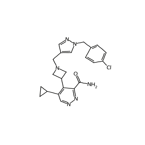 NC(=O)c1nncc(C2CC2)c1C1CN(Cc2cnn(Cc3ccc(Cl)cc3)c2)C1